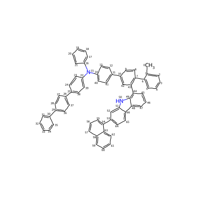 Cc1ccccc1-c1ccc(-c2ccc(N(c3ccccc3)c3ccc(-c4ccc(-c5ccccc5)cc4)cc3)cc2)cc1-c1cccc2c1[nH]c1cc(-c3cccc4ccccc34)ccc12